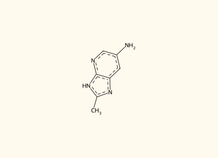 Cc1nc2cc(N)cnc2[nH]1